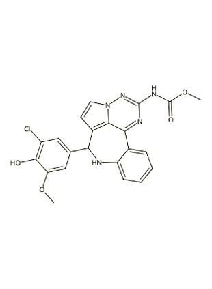 COC(=O)Nc1nc2c3c(ccn3n1)C(c1cc(Cl)c(O)c(OC)c1)Nc1ccccc1-2